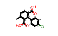 Cc1ccc(C(=O)O)c(-c2ccc(Cl)cc2)c1C(=O)O